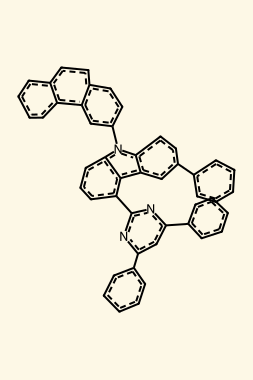 c1ccc(-c2ccc3c(c2)c2c(-c4nc(-c5ccccc5)cc(-c5ccccc5)n4)cccc2n3-c2ccc3ccc4ccccc4c3c2)cc1